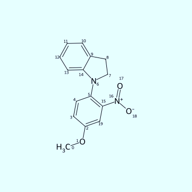 COc1ccc(N2CCc3ccccc32)c([N+](=O)[O-])c1